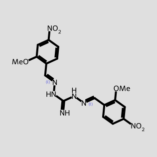 COc1cc([N+](=O)[O-])ccc1/C=N/NC(=N)N/N=C/c1ccc([N+](=O)[O-])cc1OC